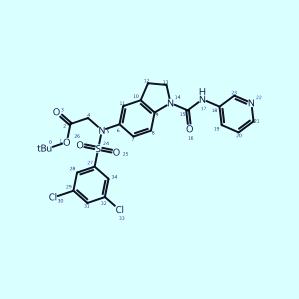 CC(C)(C)OC(=O)CN(c1ccc2c(c1)CCN2C(=O)Nc1cccnc1)S(=O)(=O)c1cc(Cl)cc(Cl)c1